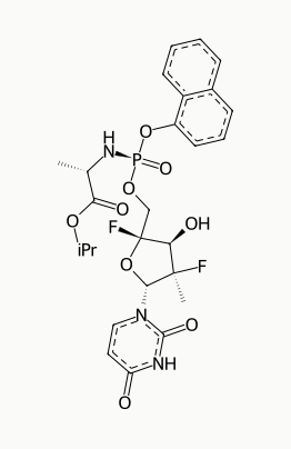 CC(C)OC(=O)[C@H](C)N[P@@](=O)(OC[C@@]1(F)O[C@@H](n2ccc(=O)[nH]c2=O)[C@](C)(F)[C@@H]1O)Oc1cccc2ccccc12